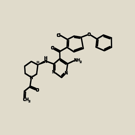 C=CC(=O)N1CCC[C@@H](Nc2ncnc(N)c2C(=O)c2ccc(Oc3ccccc3)cc2Cl)C1